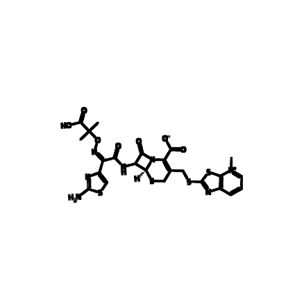 C[n+]1cccc2nc(SCC3=C(C(=O)[O-])N4C(=O)C(NC(=O)/C(=N\OC(C)(C)C(=O)O)c5csc(N)n5)[C@@H]4SC3)sc21